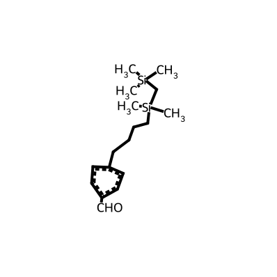 C[Si](C)(C)C[Si](C)(C)CCCCc1ccc(C=O)cc1